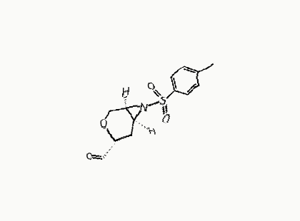 Cc1ccc(S(=O)(=O)N2[C@@H]3CO[C@@H](C=O)C[C@@H]32)cc1